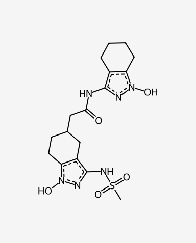 CS(=O)(=O)Nc1nn(O)c2c1CC(CC(=O)Nc1nn(O)c3c1CCCC3)CC2